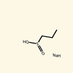 CCCS(=O)O.[NaH]